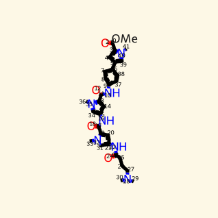 COC(=O)c1cc(-c2ccc(NC(=O)c3cc(NC(=O)c4cc(NC(=O)CCCN(C)C)cn4C)cn3C)cc2)cn1C